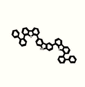 c1ccc(-c2ccccc2-c2cccc3c2sc2c(-c4ccc5[nH]c6ccc(-c7cccc8c7sc7c(-c9ccccc9-c9ccccc9)cccc78)cc6c5c4)cccc23)cc1